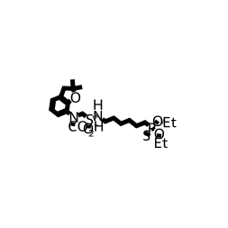 CCOP(=S)(CCCCCCN[S+]([O-])CN(C(=O)O)c1cccc2c1OC(C)(C)C2)OCC